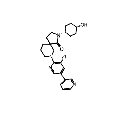 O=C1N([C@H]2CC[C@H](O)CC2)CCC12CCCN(c1ncc(-c3cccnc3)cc1Cl)C2